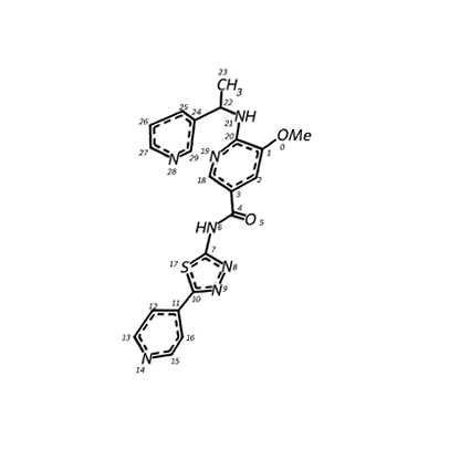 COc1cc(C(=O)Nc2nnc(-c3ccncc3)s2)cnc1NC(C)c1cccnc1